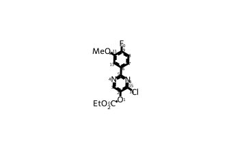 CCOC(=O)Oc1cnc(-c2ccc(F)c(OC)c2)nc1Cl